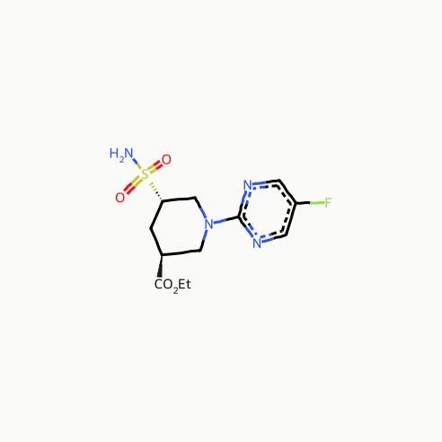 CCOC(=O)[C@H]1C[C@H](S(N)(=O)=O)CN(c2ncc(F)cn2)C1